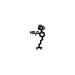 CC(C)(C)OC(=O)N1CCC(CCCCC(F)F)CC1C(=O)O